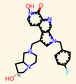 O=c1c2ncc3c(c(CN4CCN5C[C@H](O)CC5C4)cn3Cc3ccc(F)cc3)c2ccn1O